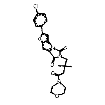 CC(C)(CC(=O)N1CCOCC1)CN1C(=O)c2cc3oc(-c4ccc(Cl)cc4)cc3n2C1=S